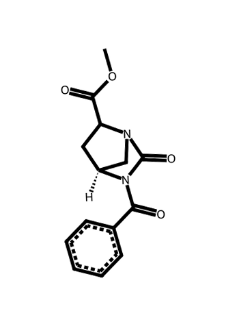 COC(=O)C1C[C@H]2CN1C(=O)N2C(=O)c1ccccc1